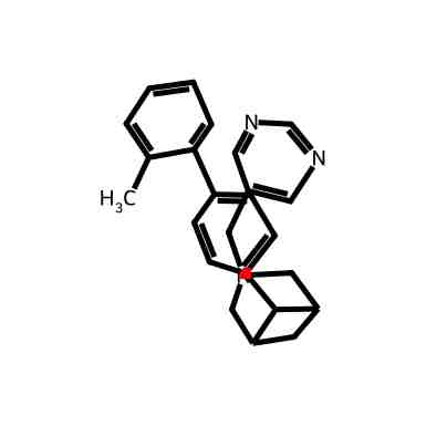 Cc1ccccc1-c1ccc(C2C3CC2CN(Cc2cncnc2)C3)cc1